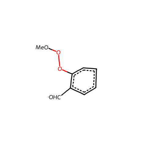 COOOc1ccccc1[C]=O